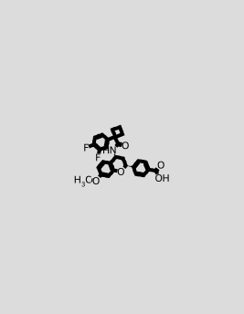 COc1ccc2c(c1)O[C@@H](c1ccc(C(=O)O)cc1)C[C@H]2NC(=O)C1(c2ccc(F)c(F)c2)CCC1